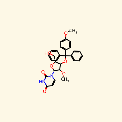 COc1ccc(C(OC2C(OC)[C@@H](n3ccc(=O)[nH]c3=O)O[C@H]2CO)(c2ccccc2)c2ccccc2)cc1